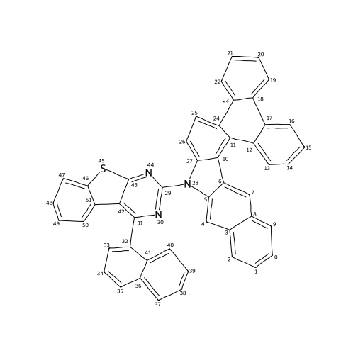 c1ccc2cc3c(cc2c1)c1c2c4ccccc4c4ccccc4c2ccc1n3-c1nc(-c2cccc3ccccc23)c2c(n1)sc1ccccc12